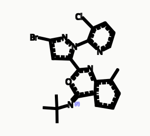 Cc1cccc2/c(=N/C(C)(C)C)oc(-c3cc(Br)nn3-c3ncccc3Cl)nc12